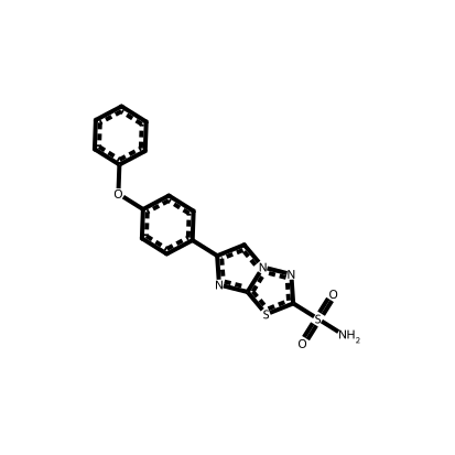 NS(=O)(=O)c1nn2cc(-c3ccc(Oc4ccccc4)cc3)nc2s1